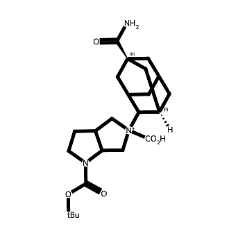 CC(C)(C)OC(=O)N1CCC2C[N+](C(=O)O)(C3C4CC5C[C@@H]3C[C@@](C(N)=O)(C5)C4)CC21